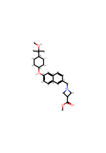 COC(=O)C1CN(Cc2ccc3cc(OC4CCC(C(C)(C)OC)CC4)ccc3c2)C1